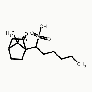 CCCCCC(C12CCC(CC1=O)C2(C)C)S(=O)(=O)O